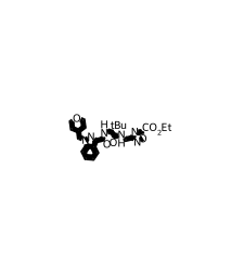 CCOC(=O)c1nc(CNC(=O)C(NC(=O)c2nn(CC3CCOCC3)c3ccccc23)C(C)(C)C)no1